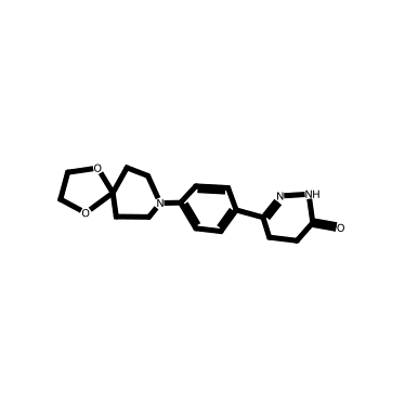 O=C1CCC(c2ccc(N3CCC4(CC3)OCCO4)cc2)=NN1